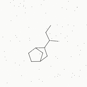 CCC(C)[C]1CC2CCC1C2